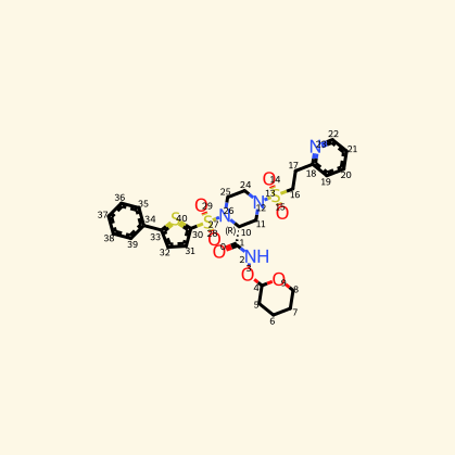 O=C(NOC1CCCCO1)[C@H]1CN(S(=O)(=O)CCc2ccccn2)CCN1S(=O)(=O)c1ccc(-c2ccccc2)s1